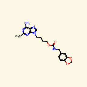 CNc1nc(N)c2ncn(CCCCOC(=O)NCc3ccc4c(c3)OCO4)c2n1